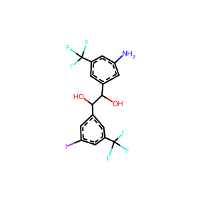 Nc1cc(C(O)C(O)c2cc(I)cc(C(F)(F)F)c2)cc(C(F)(F)F)c1